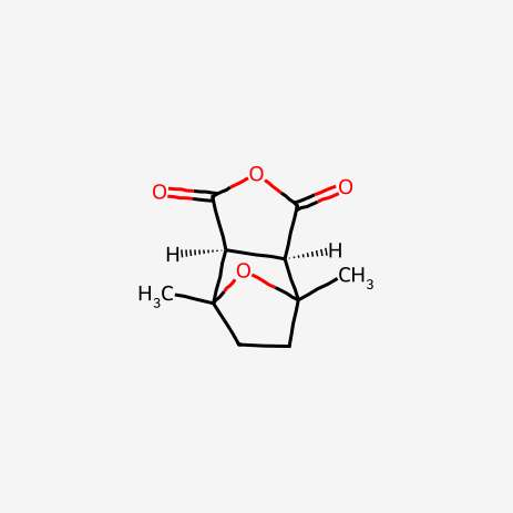 CC12CCC(C)(O1)[C@H]1C(=O)OC(=O)[C@H]12